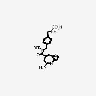 CCCN(Cc1ccc(CNC(=O)O)cc1)C(=O)C1=Cc2sccc2N=C(N)C1